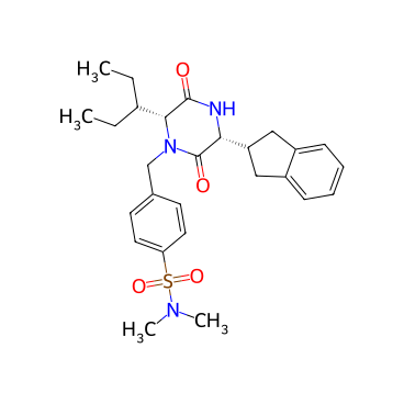 CCC(CC)[C@@H]1C(=O)N[C@H](C2Cc3ccccc3C2)C(=O)N1Cc1ccc(S(=O)(=O)N(C)C)cc1